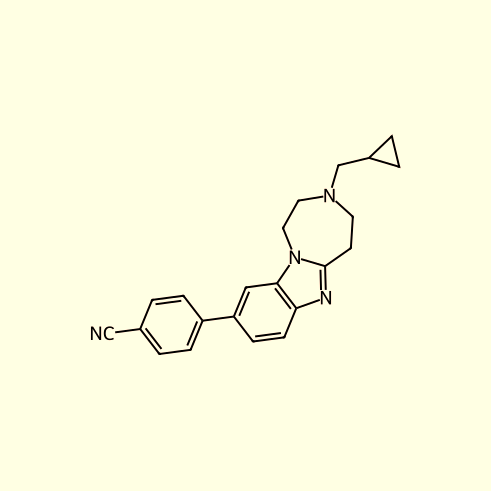 N#Cc1ccc(-c2ccc3nc4n(c3c2)CCN(CC2CC2)CC4)cc1